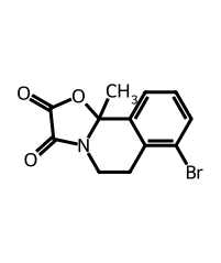 CC12OC(=O)C(=O)N1CCc1c(Br)cccc12